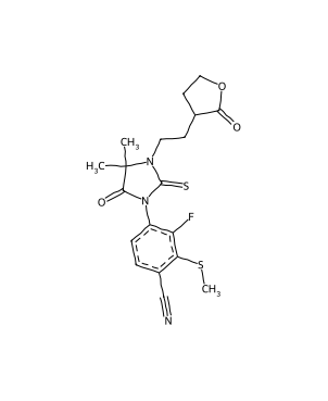 CSc1c(C#N)ccc(N2C(=O)C(C)(C)N(CCC3CCOC3=O)C2=S)c1F